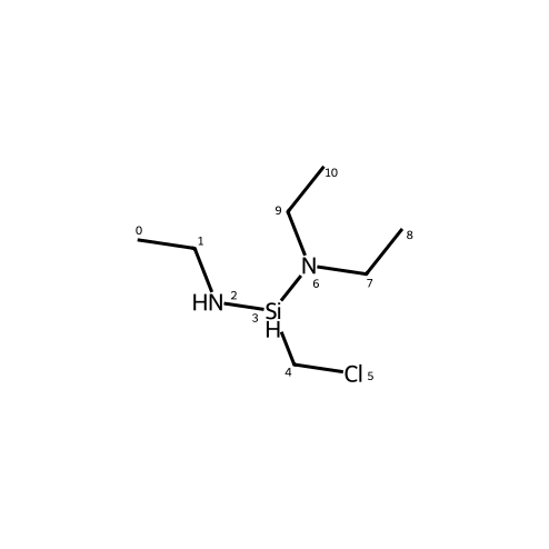 CCN[SiH](CCl)N(CC)CC